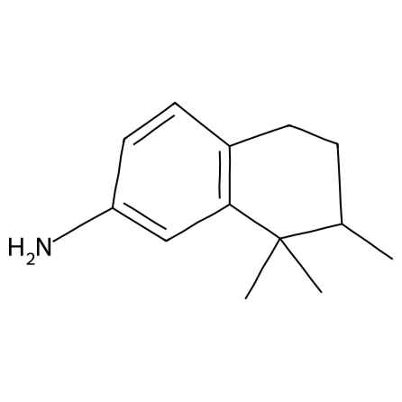 CC1CCc2ccc(N)cc2C1(C)C